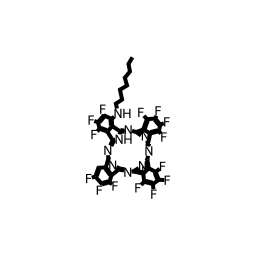 CCCCCCCCNc1c(F)c(F)c(F)c2c3nc4nc(nc5c6c(F)c(F)c(F)c(F)c6c(nc6nc(nc([nH]3)c12)-c1c(F)c(F)c(F)c(F)c1-6)n5F)-c1c-4cc(F)c(F)c1F